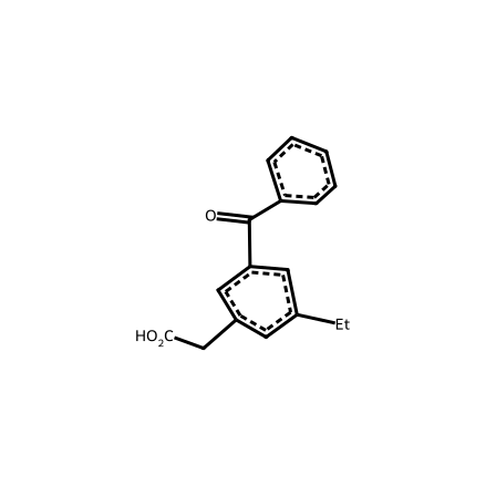 CCc1cc(CC(=O)O)cc(C(=O)c2ccccc2)c1